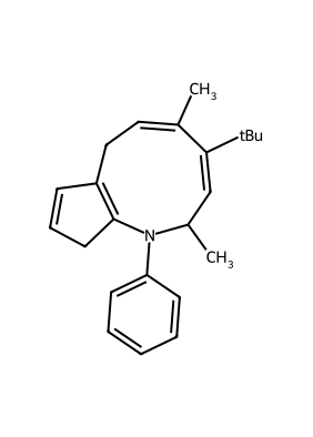 CC1=C/CC2=C(CC=C2)N(c2ccccc2)C(C)/C=C\1C(C)(C)C